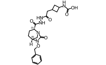 O=C(O)NC1CC(CC(=O)NNC(=O)[C@@H]2CC[C@@H]3CN2C(=O)N3OCc2ccccc2)C1